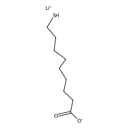 O=C([O-])CCCCCCCCS.[Li+]